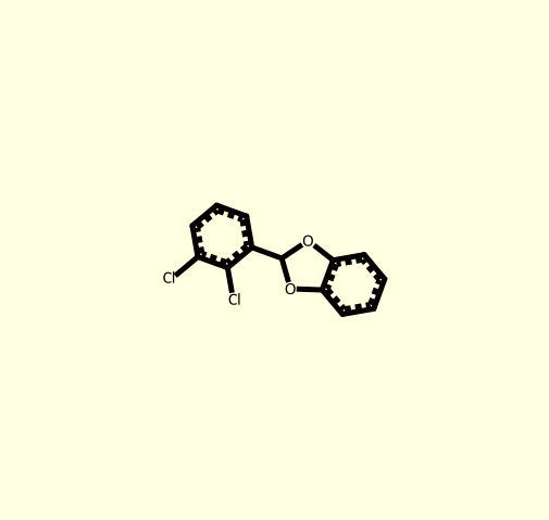 Clc1cccc([C]2Oc3ccccc3O2)c1Cl